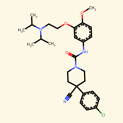 COc1ccc(NC(=O)N2CCC(C#N)(c3ccc(Cl)cc3)CC2)cc1OCCN(C(C)C)C(C)C